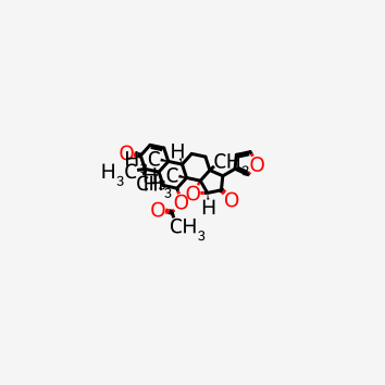 CC(=O)OC1C[C@H]2C(C)(C)C(=O)C=C[C@]2(C)[C@H]2CCC3(C)C(c4ccoc4)C(=O)[C@H]4O[C@]43[C@]12C